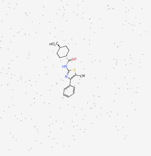 N#Cc1sc(NC(=O)[C@H]2CC[C@H](C(=O)O)CC2)nc1-c1ccccc1